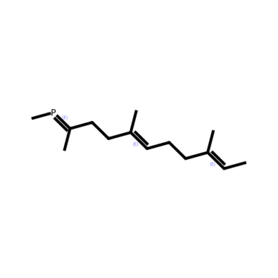 C/C=C(\C)CC/C=C(\C)CC/C(C)=P/C